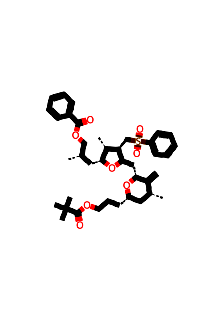 C=C1[C@H](C)C[C@H](CCCOC(=O)C(C)(C)C)O[C@@H]1CC1O[C@H](C[C@H](C)COC(=O)c2ccccc2)[C@H](C)[C@H]1CS(=O)(=O)c1ccccc1